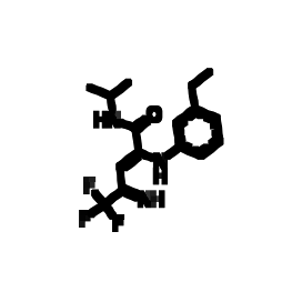 CCc1cccc(N/C(=C\C(=N)C(F)(F)F)C(=O)NC(C)C)c1